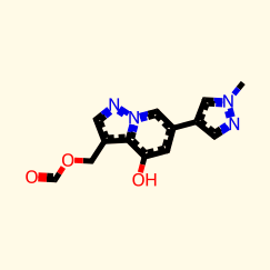 Cn1cc(-c2cc(O)c3c(COC=O)cnn3c2)cn1